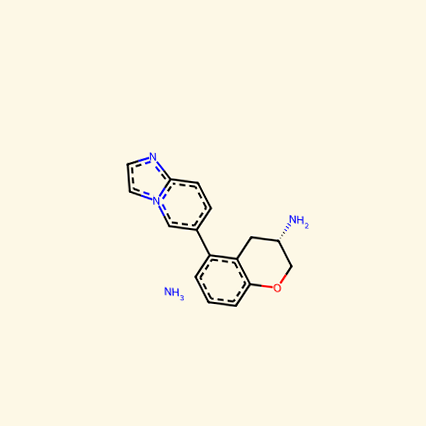 N.N[C@@H]1COc2cccc(-c3ccc4nccn4c3)c2C1